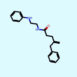 C=C(CCC(=O)NCCNc1ccccc1)Cc1ccccc1